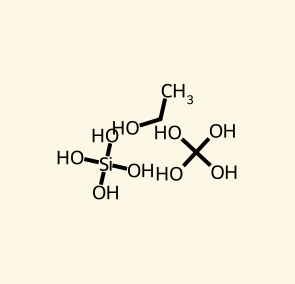 CCO.OC(O)(O)O.O[Si](O)(O)O